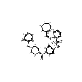 Cc1cccc(S(=O)(=O)Nc2ccc(C(=O)N3CCN(Cc4ccncc4F)CC3)cc2)c1/N=C\C1CCCCCC1